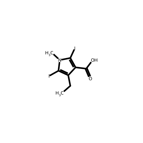 CCc1c(C(=O)O)c(I)n(C)c1I